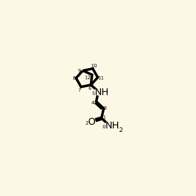 NC(=O)C=CNC12CCC(CC1)C2